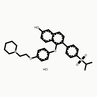 CC(C)S(=O)(=O)c1ccc(-c2ccc3cc(O)ccc3c2Oc2ccc(OCCN3CCCCC3)cc2)cc1.Cl